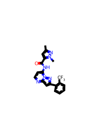 Cc1cc(C(=O)Nc2ccnc3cc(-c4ccccc4C(F)(F)F)nn23)n(C)n1